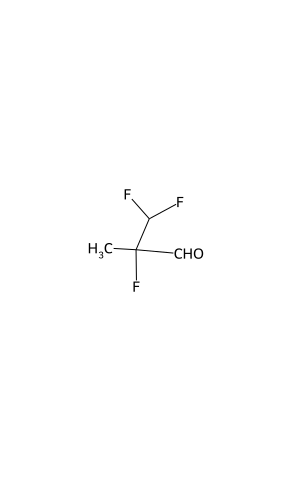 CC(F)(C=O)C(F)F